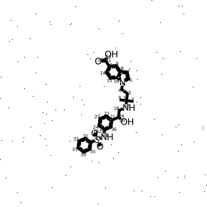 CC(C)(CCn1ccc2cc(C(=O)O)ccc21)NCC(O)c1cccc(NS(=O)(=O)c2ccccc2)c1